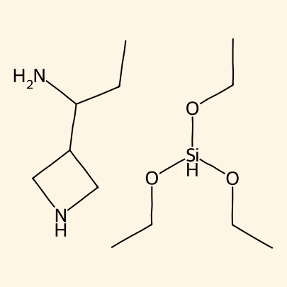 CCC(N)C1CNC1.CCO[SiH](OCC)OCC